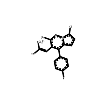 CCC(=Cc1c(C(C)C)nn2c(Cl)ccc2c1-c1ccc(F)cc1)C(=O)O